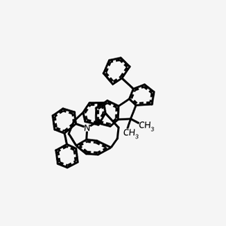 CC1(C)c2cc(N(c3cc4ccc3CCc3ccc(cc3)CC4)c3ccccc3-c3ccccc3)ccc2-c2c(-c3ccccc3)cccc21